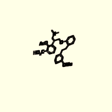 COc1cccc(CCc2ccccc2OCC(CN(C)C)c2cccc(C(=O)O)c2OC(C)=O)c1